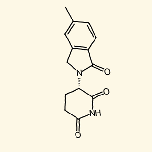 Cc1ccc2c(c1)CN([C@H]1CCC(=O)NC1=O)C2=O